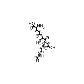 NC(CCC(=O)NC(CS)C(=O)N(CC(=O)O)SSCCNN[C]=O)C(=O)O